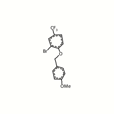 COc1ccc(COc2ccc(C(F)(F)F)cc2Br)cc1